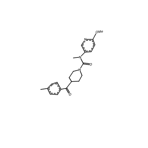 COc1ccc(N(C)C(=O)N2CCC(C(=O)c3ccc(C)cc3)CC2)cn1